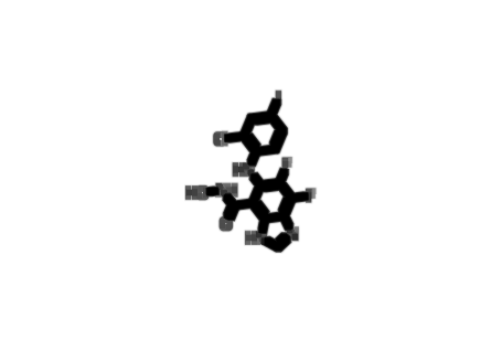 O=C(NO)c1c(Nc2ccc(I)cc2Cl)c(F)c(F)c2nc[nH]c12